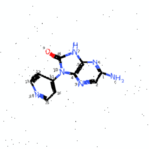 Nc1cnc2c(n1)[nH]c(=O)n2-c1ccncc1